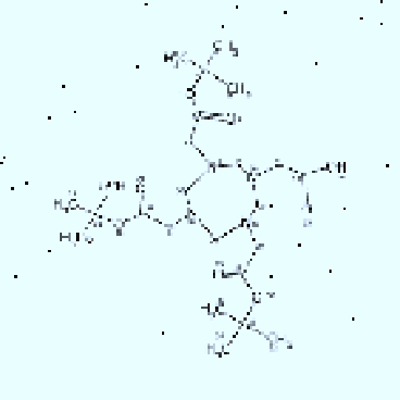 CC(C)(C)OC(=O)CN1CN(CC(=O)O)CN(CC(=O)OC(C)(C)C)CN(CC(=O)OC(C)(C)C)C1